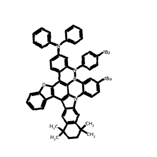 CC(C)(C)c1ccc(N2B3c4cc(C(C)(C)C)ccc4-n4c5cc6c(cc5c5c7c(oc8ccccc87)c(c3c54)-c3ccc(N(c4ccccc4)c4ccccc4)cc32)C(C)(C)CCC6(C)C)cc1